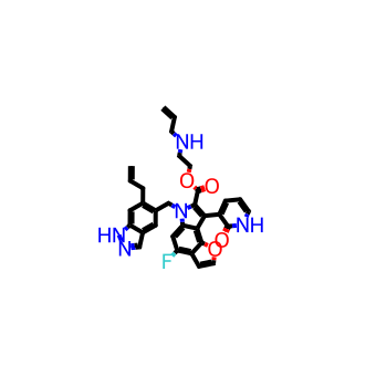 C=CCNCCOC(=O)c1c(-c2ccc[nH]c2=O)c2c3occc3c(F)cc2n1Cc1cc2cn[nH]c2cc1CC=C